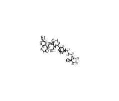 CCc1cc2c(s1)CCO[C@@]21CCN(Cc2cn(CCCN3CCCC3=O)nn2)[C@@H](C)C1